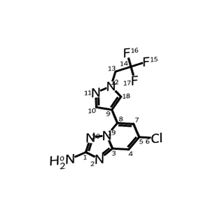 Nc1nc2cc(Cl)cc(-c3cnn(CC(F)(F)F)c3)n2n1